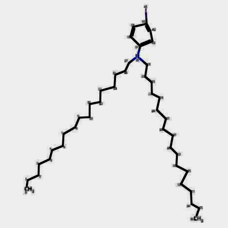 CCCCCCCCCCCCCCCCCCN(CCCCCCCCCCCCCCCCCC)c1ccc(I)cc1